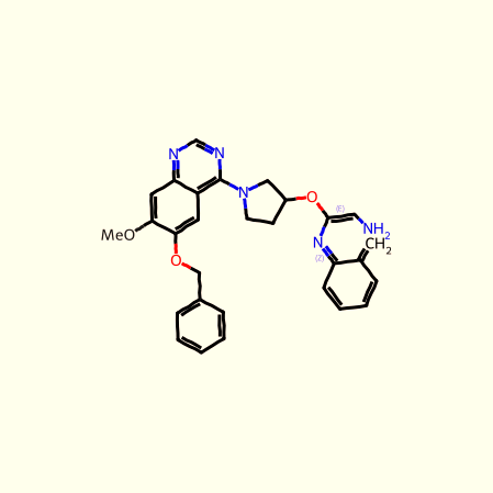 C=C1C=CC=C/C1=N/C(=C\N)OC1CCN(c2ncnc3cc(OC)c(OCc4ccccc4)cc23)C1